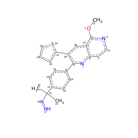 COc1nccc2nc(-c3ccc(C(C)(C)N=N)cc3)c(-c3cccs3)cc12